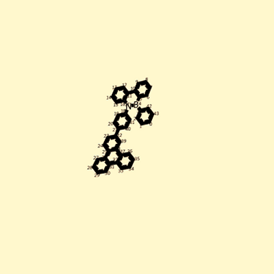 c1ccc(B2c3ccccc3-c3ccccc3N2c2ccc(-c3ccc4c5ccccc5c5ccccc5c4c3)cc2)cc1